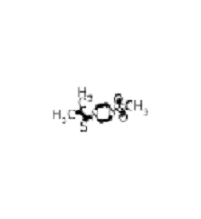 CC(C)C(=S)N1CCN(S(C)(=O)=O)CC1